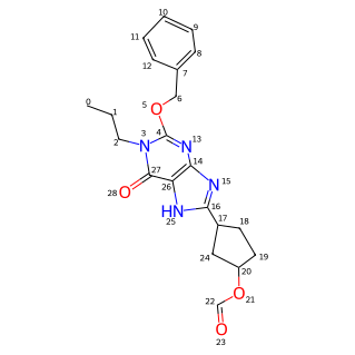 CCCn1c(OCc2ccccc2)nc2nc(C3CCC(OC=O)C3)[nH]c2c1=O